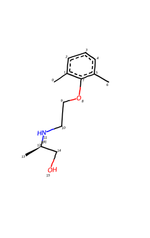 Cc1cccc(C)c1OCCN[C@H](C)CO